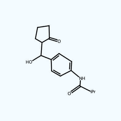 CC(C)C(=O)Nc1ccc(C(O)C2CCCC2=O)cc1